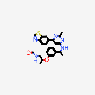 Cc1nc(NC(C)c2cccc(OC(C)CNC=O)c2)cc(-c2ccc3ncsc3c2)n1